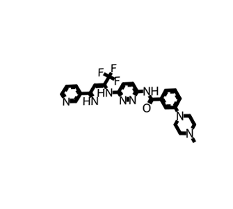 CN1CCN(c2cccc(C(=O)Nc3ccc(N/C(=C\C(=N)c4cccnc4)C(F)(F)F)nn3)c2)CC1